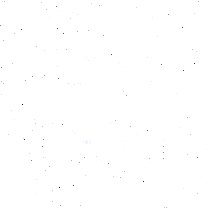 Nc1ncc(-c2cnn([C@@H]3CN[C@H](C(=O)O)C3)c2)cc1-c1cc2c(Cl)ccc(F)c2cn1